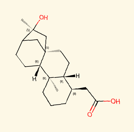 C[C@@]12CCC[C@H](CC(=O)O)[C@H]1CC[C@@]13CC(CC[C@H]12)[C@@](C)(O)C3